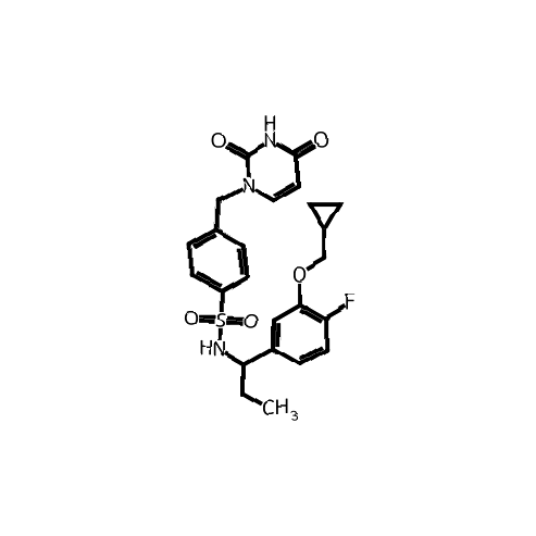 CCC(NS(=O)(=O)c1ccc(Cn2ccc(=O)[nH]c2=O)cc1)c1ccc(F)c(OCC2CC2)c1